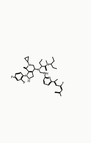 C=C(C)/C=C(F)\C=C(/C)c1cccc(NCN(C(CC)C(=C)N(C)C(CC)CC)C2CN(C3CC3)C(=C)C3=C2CNN3c2ccc(F)cc2F)n1